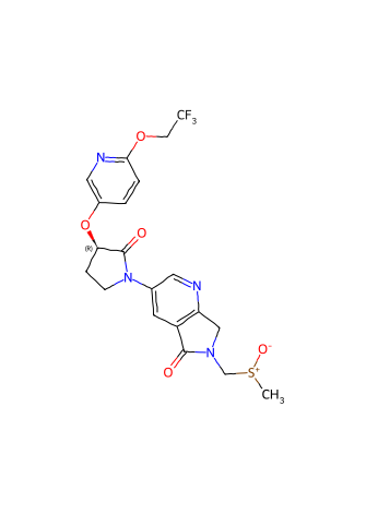 C[S+]([O-])CN1Cc2ncc(N3CC[C@@H](Oc4ccc(OCC(F)(F)F)nc4)C3=O)cc2C1=O